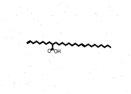 C=CCCCCCCC(CCCCCCCCC=CCCCCCCCC)C(=O)O